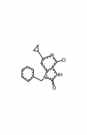 O=c1[nH]c2c(Cl)nc(C3CC3)cc2n1Cc1ccccc1